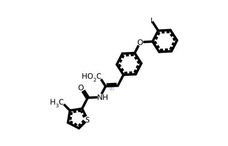 Cc1ccsc1C(=O)N/C(=C/c1ccc(Oc2ccccc2I)cc1)C(=O)O